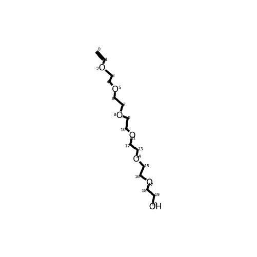 C=COCCOCCOCCOCCOCCOCCO